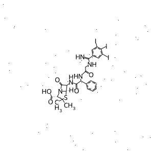 CC1(C)S[C@@H]2C(NC(=O)C(NC(=O)CNC(=N)c3cc(I)c(I)c(I)c3)c3ccccc3)C(=O)N2[C@H]1C(=O)O